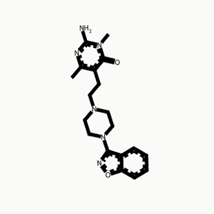 Cc1nc(N)n(C)c(=O)c1CCN1CCN(c2noc3ccccc23)CC1